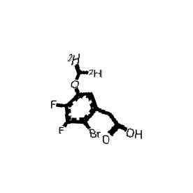 [2H]C([2H])Oc1cc(CC(=O)O)c(Br)c(F)c1F